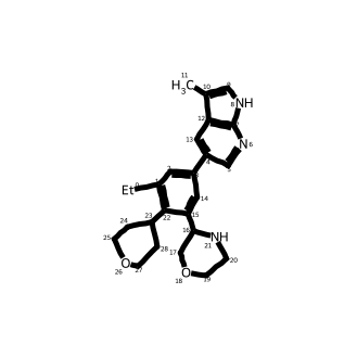 CCc1cc(-c2cnc3[nH]cc(C)c3c2)cc(C2COCCN2)c1C1CCOCC1